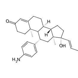 CC=C[C@]1(O)CC[C@H]2[C@@H]3CCC4=CC(=O)CC[C@]4(C)C3[C@@H](c3ccc(N)cc3)C[C@@]21C